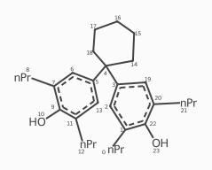 CCCc1cc(C2(c3cc(CCC)c(O)c(CCC)c3)CCCCC2)cc(CCC)c1O